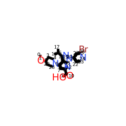 COC1CCN(c2cc(C(=O)O)nc3c2c(C(C)C)nn3-c2ccnc(Br)c2)CC1